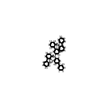 c1ccc(-c2ccc(N(c3cccc(-c4ccccc4-n4c5ccccc5c5ccccc54)c3)c3cccc4c3oc3ccccc34)cc2)cc1